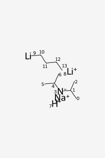 CC(C)[N-]C(C)C.[H-].[Li+].[Li][CH2]CCC.[Na+]